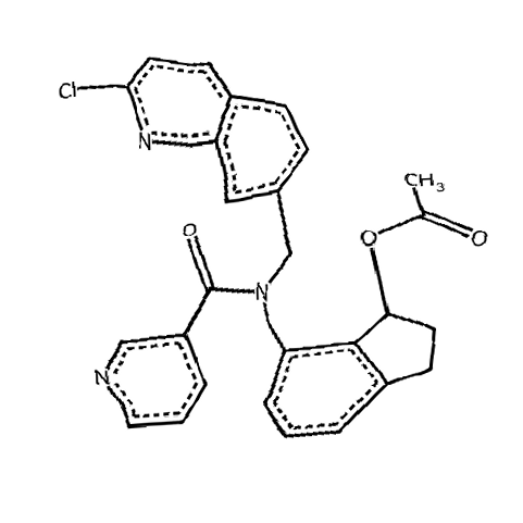 CC(=O)OC1CCc2cccc(N(Cc3ccc4ccc(Cl)nc4c3)C(=O)c3cccnc3)c21